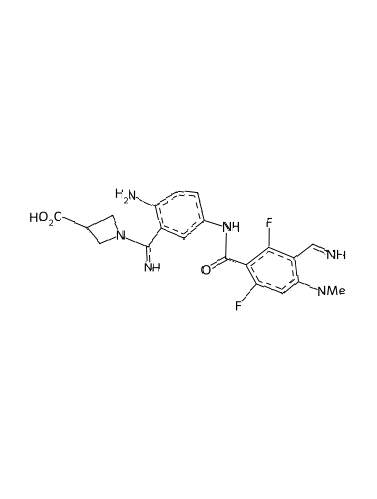 CNc1cc(F)c(C(=O)Nc2ccc(N)c(C(=N)N3CC(C(=O)O)C3)c2)c(F)c1C=N